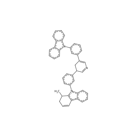 CC1CC=Cc2c1n(-c1cccc(C3C=NC=C(c4cccc(-n5c6ccccc6c6ccccc65)c4)C3)c1)c1ccccc21